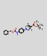 CC(C)(C)OC(=O)C1[C@H]2CN(c3ccc(NC(=O)OCc4ccccc4)cc3)C[C@@H]12